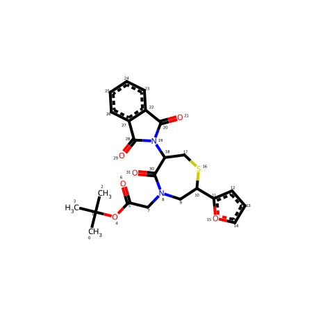 CC(C)(C)OC(=O)CN1CC(c2ccco2)SCC(N2C(=O)c3ccccc3C2=O)C1=O